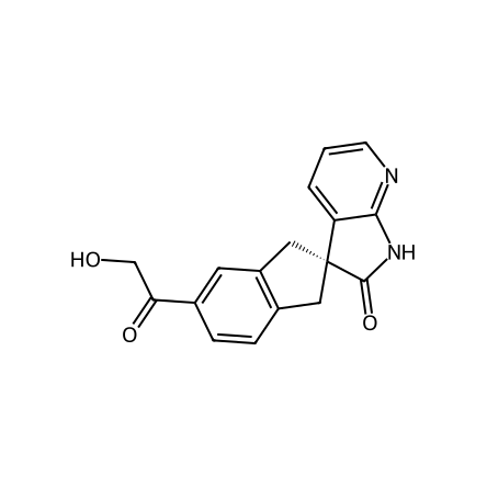 O=C(CO)c1ccc2c(c1)C[C@@]1(C2)C(=O)Nc2ncccc21